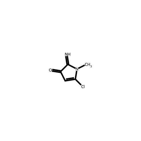 CN1C(=N)C(=O)C=C1Cl